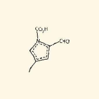 Cc1cc(C=O)n(C(=O)O)c1